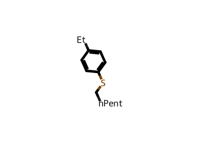 C[CH]CCCCSc1ccc(CC)cc1